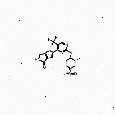 C[C@@H]1CN(S(C)(=O)=O)CC[C@@H]1Nc1ncc(C(F)(F)F)c(-c2cc3c(s2)CNC3=O)n1